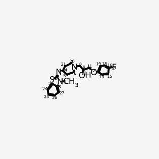 Cn1c(=NC2CCN(CC(O)COc3ccc(F)cc3)CC2)sc2ccccc21